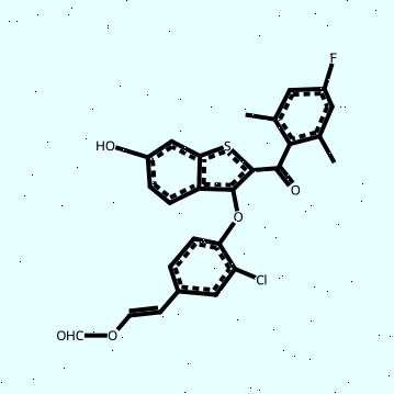 Cc1cc(F)cc(C)c1C(=O)c1sc2cc(O)ccc2c1Oc1ccc(/C=C/OC=O)cc1Cl